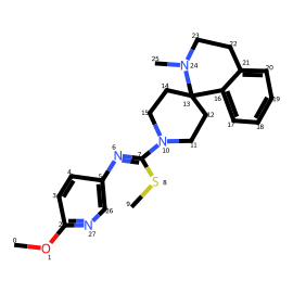 COc1ccc(N=C(SC)N2CCC3(CC2)c2ccccc2CCN3C)cn1